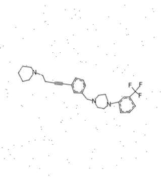 FC(F)(F)c1cccc(N2CCN(Cc3cccc(C#CCCN4CCCCC4)c3)CC2)c1